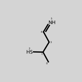 CC(S)C[C]=N